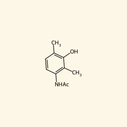 CC(=O)Nc1ccc(C)c(O)c1C